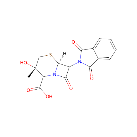 C[C@@]1(O)CS[C@H]2C(N3C(=O)c4ccccc4C3=O)C(=O)N2C1C(=O)O